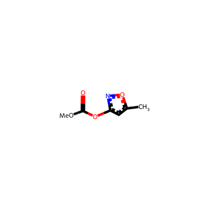 COC(=O)Oc1cc(C)on1